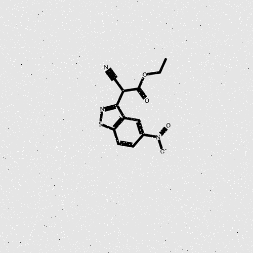 CCOC(=O)C(C#N)c1nsc2ccc([N+](=O)[O-])cc12